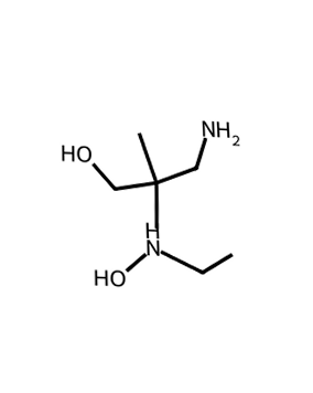 CC(C)(CN)CO.CCNO